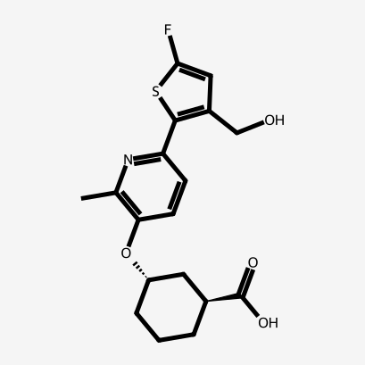 Cc1nc(-c2sc(F)cc2CO)ccc1O[C@H]1CCC[C@H](C(=O)O)C1